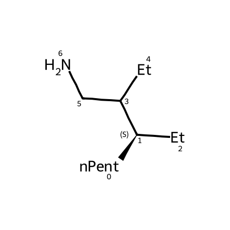 CCCCC[C@H](CC)C(CC)CN